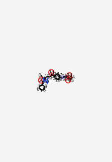 Cc1oc(-c2ccccc2)nc1CCC(=O)c1ccc(/C=C/C2OCCO2)cc1